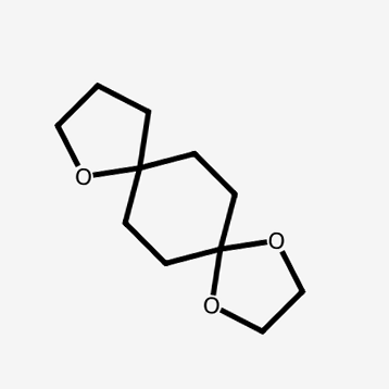 C1COC2(C1)CCC1(CC2)OCCO1